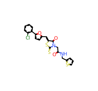 O=C(CN1C(=O)/C(=C/c2ccc(-c3ccccc3Cl)o2)SC1=S)NCc1cccs1